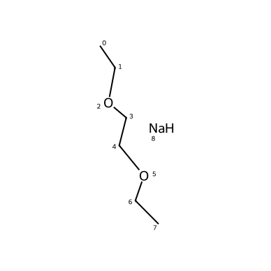 CCOCCOCC.[NaH]